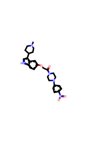 CN1CCC(c2c[nH]c3ccc(OCC(=O)N4CCN(c5ccc([N+](=O)[O-])cc5)CC4)cc23)CC1